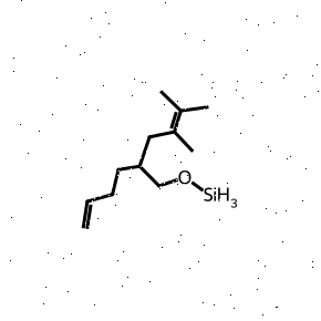 C=CCCC(CO[SiH3])CC(C)=C(C)C